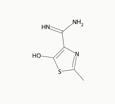 Cc1nc(C(=N)N)c(O)s1